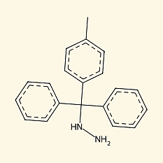 Cc1ccc(C(NN)(c2ccccc2)c2ccccc2)cc1